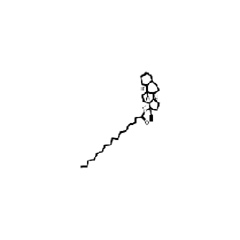 C#C[C@]1(OC(=O)CCCCCCCCCCCCCCC)CC[C@H]2[C@@H]3CCC4CC=CC[C@@H]4[C@H]3CC[C@@]21C